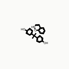 C1=Cc2ccccc2ON1.CC(C)(c1ccc(O)cc1)c1ccc(O)cc1